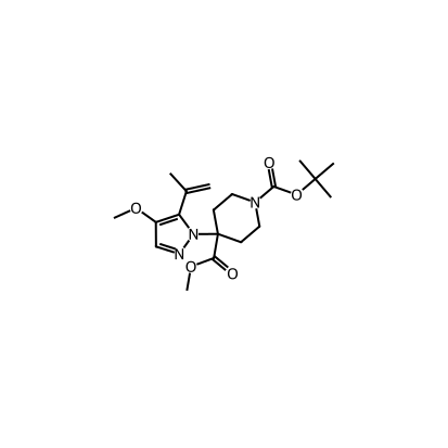 C=C(C)c1c(OC)cnn1C1(C(=O)OC)CCN(C(=O)OC(C)(C)C)CC1